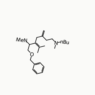 C=C(CCN(C)CCCC)CC(=C(C)C)C(COCc1ccccc1)NC